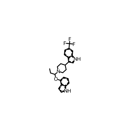 CCC(Oc1cccc2[nH]ccc12)N1CCC(c2c[nH]c3cc(C(F)(F)F)ccc23)CC1